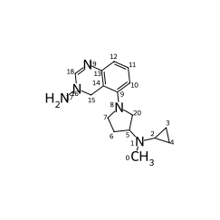 CN(C1CC1)C1CCN(c2cccc3c2CN(N)C=N3)C1